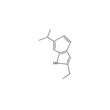 CCc1cc2ccc(C(C)C)cc2[nH]1